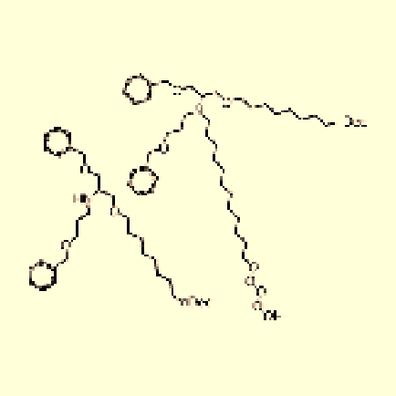 CCCCCCCCCCCCCCCCCCOCC(COCc1ccccc1)N(CCCCCCCCCCCCOOOOO)CCCOCc1ccccc1.CCCCCCCCCCCCCCCCCCOCC(COCc1ccccc1)NCCCOCc1ccccc1